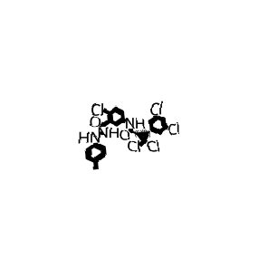 Cc1ccc(NNC(=O)c2cc(NC(=O)[C@H]3[C@H](c4cc(Cl)cc(Cl)c4)C3(Cl)Cl)ccc2Cl)cc1